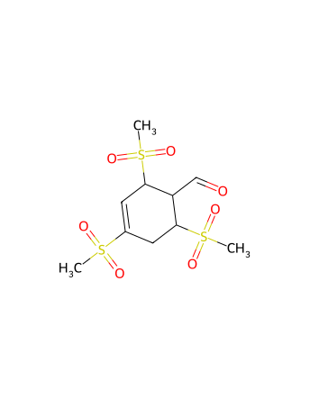 CS(=O)(=O)C1=CC(S(C)(=O)=O)C(C=O)C(S(C)(=O)=O)C1